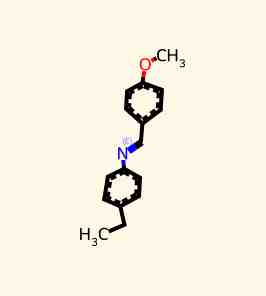 CCc1ccc(/N=C/c2ccc(OC)cc2)cc1